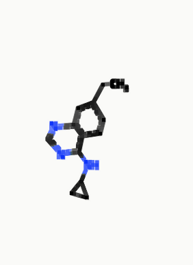 CCc1ccc2c(NC3CC3)ncnc2c1